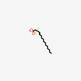 CCCCCCCCCCCC=CC(F)(F)CC(=O)OC